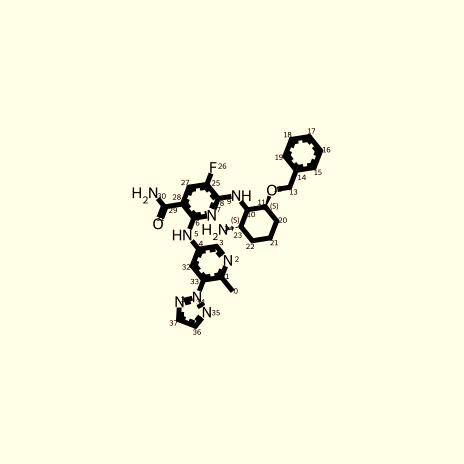 Cc1ncc(Nc2nc(NC3[C@@H](OCc4ccccc4)CCC[C@@H]3N)c(F)cc2C(N)=O)cc1-n1nccn1